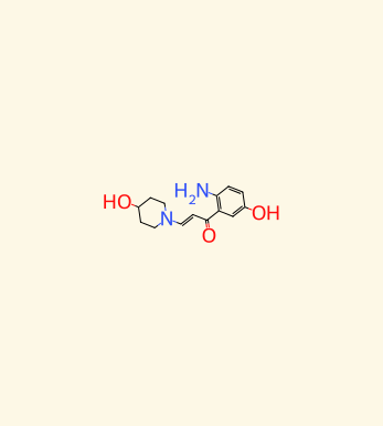 Nc1ccc(O)cc1C(=O)C=CN1CCC(O)CC1